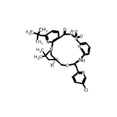 CC(C)(C)c1ccc2c(n1)N1C[C@@H](CCC(c3ccc(Cl)cn3)Nc3cccc(n3)S(=O)(=O)NC2=O)CC1(C)C